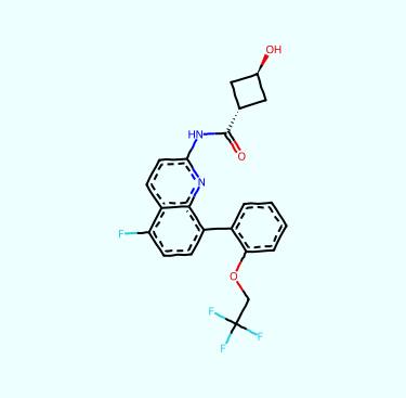 O=C(Nc1ccc2c(F)ccc(-c3ccccc3OCC(F)(F)F)c2n1)[C@H]1C[C@H](O)C1